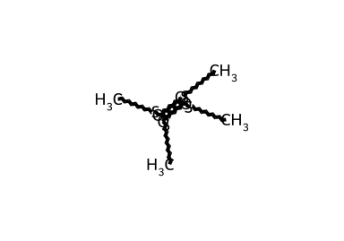 CCCCCCCCCCCSOc1cc2cc3cc(OSCCCCCCCCCCC)c(OSCCCCCCCCCCC)cc3cc2cc1OSCCCCCCCCCCC